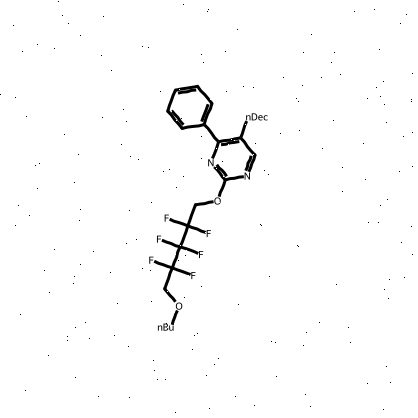 CCCCCCCCCCc1cnc(OCC(F)(F)C(F)(F)C(F)(F)COCCCC)nc1-c1ccccc1